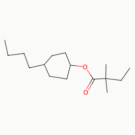 CCCCC1CCC(OC(=O)C(C)(C)CC)CC1